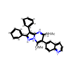 COc1c(-c2ccc3ncccc3c2)c(NC(C)=O)nc2c(-c3ccccc3)c(-c3ccccc3)nn12